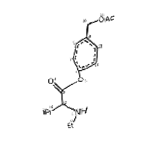 CCNC(C(=O)Oc1ccc(COC(C)=O)cc1)C(C)C